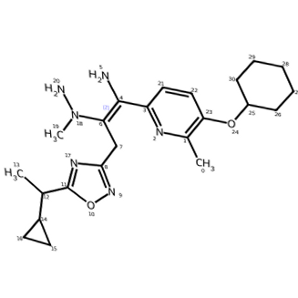 Cc1nc(/C(N)=C(\Cc2noc(C(C)C3CC3)n2)N(C)N)ccc1OC1CCCCC1